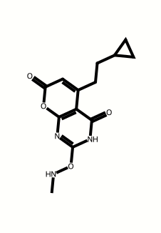 CNOc1nc2oc(=O)cc(CCC3CC3)c2c(=O)[nH]1